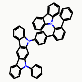 c1ccc(-c2cccc(-c3ccc(-n4c5ccccc5c5cc6c7ccccc7n(-c7ccccc7)c6cc54)cc3)c2-n2c3ccccc3c3ccccc32)cc1